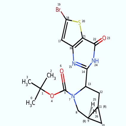 CC(C)(C)OC(=O)N1C[C@@H]2C[C@@H]2CC1c1nc2cc(Br)sc2c(=O)[nH]1